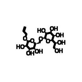 C=CCO[C@H]1O[C@H](CO[C@H]2O[C@H]([C@H](O)CO)[C@@H](O)[C@H](O)[C@@H]2O)[C@@H](O)[C@H](O)[C@H]1O